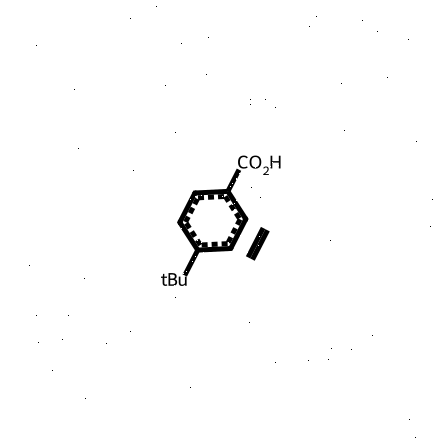 C=C.CC(C)(C)c1ccc(C(=O)O)cc1